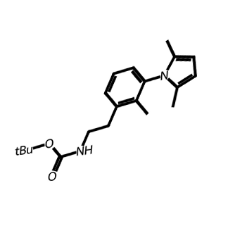 Cc1c(CCNC(=O)OC(C)(C)C)cccc1-n1c(C)ccc1C